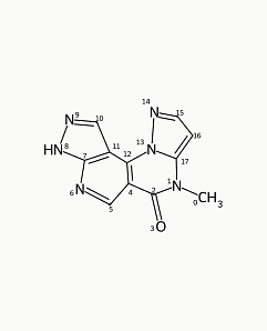 Cn1c(=O)c2cnc3[nH]ncc3c2n2nccc12